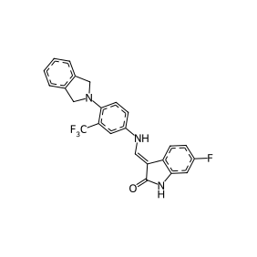 O=C1Nc2cc(F)ccc2C1=CNc1ccc(N2Cc3ccccc3C2)c(C(F)(F)F)c1